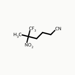 CC(CCCC#N)([N+](=O)[O-])C(F)(F)F